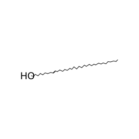 CCCCCCCCCCCCCCCCCCCCCCCCCCC=CCCCCCCCCO